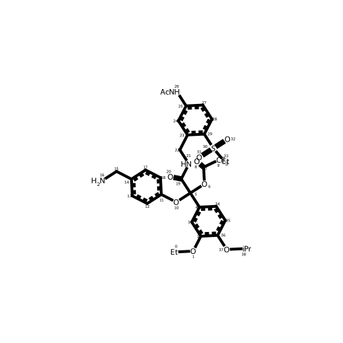 CCOc1cc(C(OC(=O)C(F)(F)F)(Oc2ccc(CN)cc2)C(=O)NCc2cc(NC(C)=O)ccc2S(=O)(=O)CC)ccc1OC(C)C